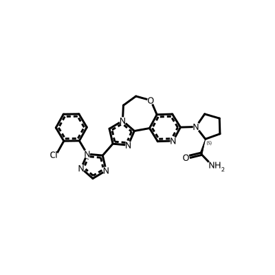 NC(=O)[C@@H]1CCCN1c1cc2c(cn1)-c1nc(-c3ncnn3-c3ccccc3Cl)cn1CCO2